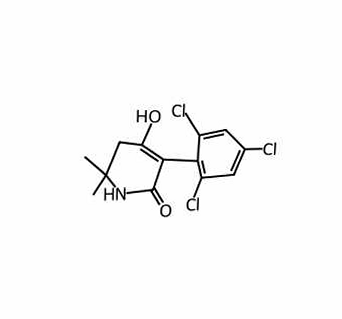 CC1(C)CC(O)=C(c2c(Cl)cc(Cl)cc2Cl)C(=O)N1